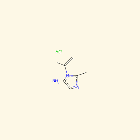 C=C(C)n1ccnc1C.Cl.N